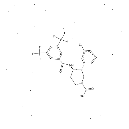 O=C(N[C@@H]1CCN(C(=O)O)C[C@H]1c1cccc(Cl)c1)c1cc(C(F)(F)F)cc(C(F)(F)F)c1